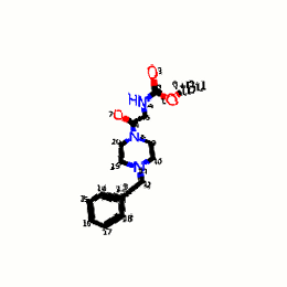 CC(C)(C)OC(=O)NCC(=O)N1CCN(Cc2ccccc2)CC1